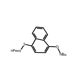 CCCCCSc1ccc(OCCCC)c2ccccc12